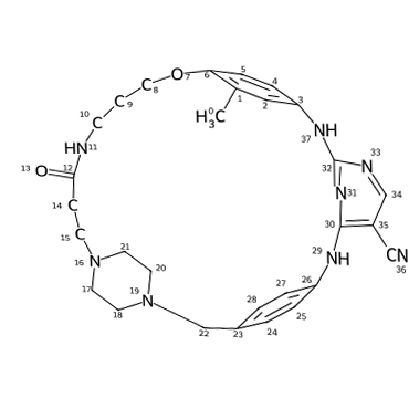 Cc1cc2ccc1OCCCNC(=O)CCN1CCN(CC1)Cc1ccc(cc1)Nc1nc(ncc1C#N)N2